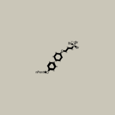 CCCCCOc1ccc([C@H]2CC[C@H](OCCC[Si](Br)(Br)Br)CC2)cc1